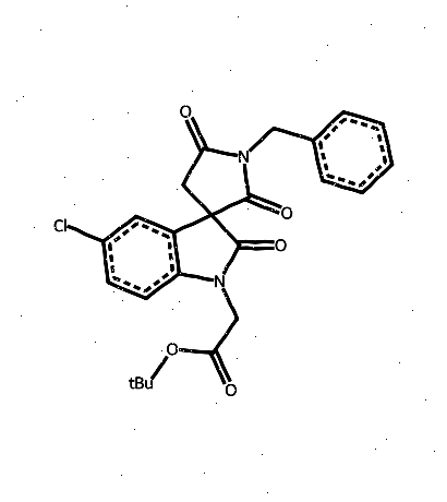 CC(C)(C)OC(=O)CN1C(=O)C2(CC(=O)N(Cc3ccccc3)C2=O)c2cc(Cl)ccc21